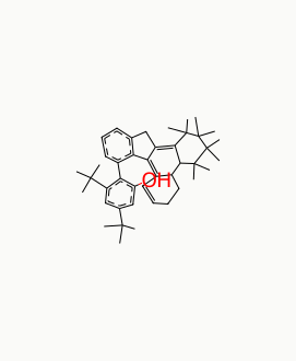 CC(C)(C)c1cc(O)c(-c2cccc3c2C2=C4C=CCCC4C4C(=C2C3)C(C)(C)C(C)(C)C(C)(C)C4(C)C)c(C(C)(C)C)c1